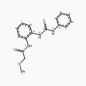 CCCOCC(=O)Nc1ccccc1NC(=O)Nc1ccccc1